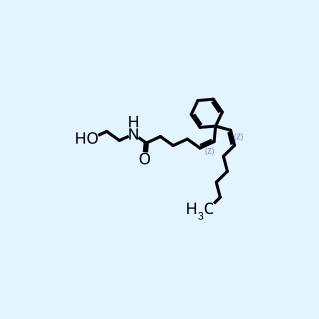 CCCCC/C=C\C1(/C=C\CCCC(=O)NCCO)C=CCC=C1